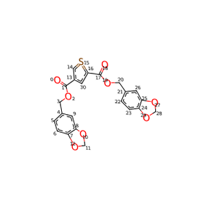 O=C(OCc1ccc2c(c1)OCO2)c1csc(C(=O)OCc2ccc3c(c2)OCO3)c1